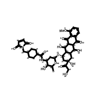 COc1cccc2c1C(=O)C1C(O)C3C(C[C@@](O)(C(=O)CO)C[C@@H]3OC3CC(NC(=O)C4CCC(CN5C(=O)C=CC5=O)CC4)C(O)C(C)O3)C(O)C1C2=O